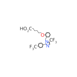 O=C(O)CCCCCOc1ccccc1Cn1c(C(F)(F)F)cnc1-c1ccc(C(F)(F)F)cc1